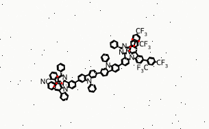 N#Cc1ccccc1-c1ccc2c3ccccc3n(-c3ccc(-c4ccc5c6ccc(-c7ccc8c9ccc(-c%10ccc(-n%11c%12ccc(-c%13ccc(C(F)(F)F)cc%13C(F)(F)F)cc%12c%12cc(-c%13ccc(C(F)(F)F)cc%13C(F)(F)F)ccc%12%11)c(-c%11nc(-c%12ccccc%12)nc(-c%12ccccc%12)n%11)c%10)cc9n(-c9ccccc9)c8c7)cc6n(-c6ccccc6)c5c4)cc3-c3nc(-c4ccccc4)cc(-c4ccccc4)n3)c2c1